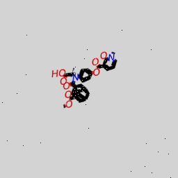 COC(=O)C12CC3CC(C1)CC(C(=O)N(c1ccc(OC(=O)c4cccn(C)c4=O)cc1)[C@@H](C)C(=O)O)(C3)C2